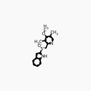 COc1c(C)cnc(C[S+]([O-])c2cc3ccccc3[nH]2)c1C